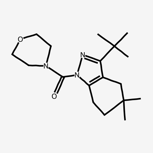 CC1(C)CCc2c(c(C(C)(C)C)nn2C(=O)N2CCOCC2)C1